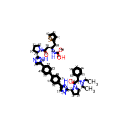 CCN(CC)[C@@H](C(=O)N1CCC[C@H]1c1ncc(-c2ccc(-c3ccc(-c4cnc([C@@H]5CCCN5C(=O)C[C@@H](Cc5cccs5)NC(=O)O)[nH]4)cc3)cc2)[nH]1)c1ccccc1